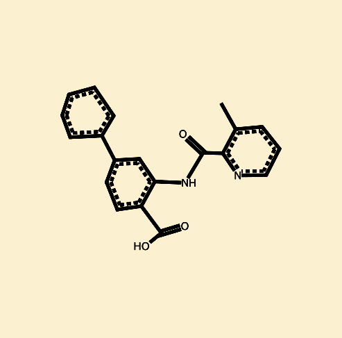 Cc1cccnc1C(=O)Nc1cc(-c2ccccc2)ccc1C(=O)O